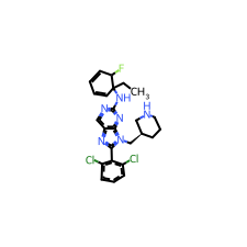 CCC1(Nc2ncc3nc(-c4c(Cl)cccc4Cl)n(C[C@@H]4CCCNC4)c3n2)C=CC=CC1F